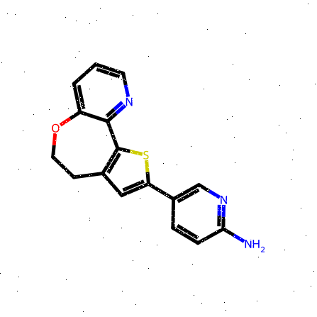 Nc1ccc(-c2cc3c(s2)-c2ncccc2OCC3)cn1